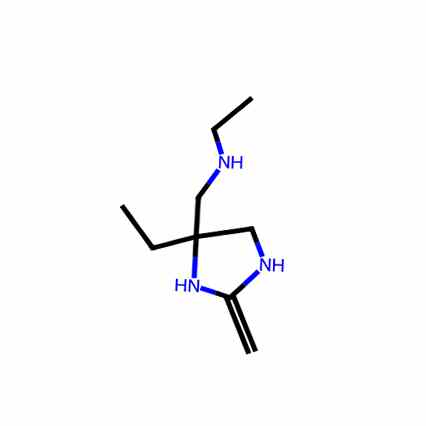 C=C1NCC(CC)(CNCC)N1